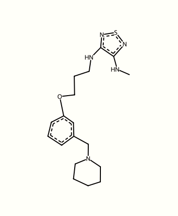 CNc1nsnc1NCCCOc1cccc(CN2CCCCC2)c1